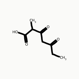 CCC(=O)CC(=O)C(C)C(=O)O